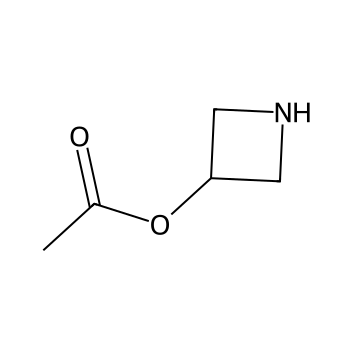 CC(=O)OC1CNC1